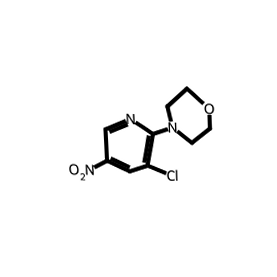 O=[N+]([O-])c1cnc(N2CCOCC2)c(Cl)c1